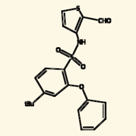 CC(C)(C)c1ccc(S(=O)(=O)Nc2ccsc2C=O)c(Oc2ccccc2)c1